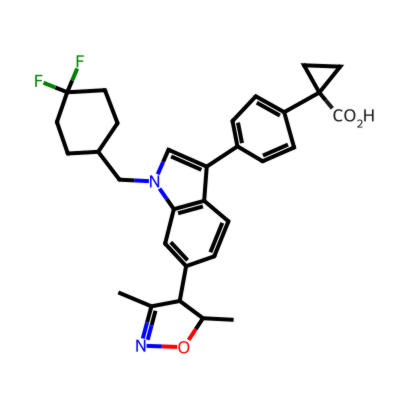 CC1=NOC(C)C1c1ccc2c(-c3ccc(C4(C(=O)O)CC4)cc3)cn(CC3CCC(F)(F)CC3)c2c1